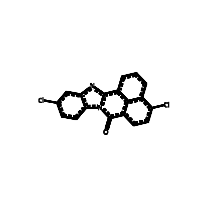 O=c1c2ccc(Cl)c3cccc(c32)c2nc3cc(Cl)ccc3n12